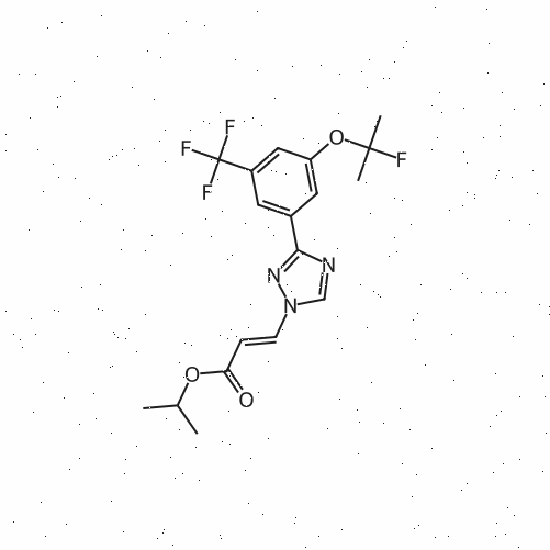 CC(C)OC(=O)C=Cn1cnc(-c2cc(OC(C)(C)F)cc(C(F)(F)F)c2)n1